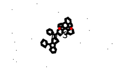 c1ccc(C2c3ccccc3-c3ccc(N(c4ccccc4)c4ccc5c(c4)Sc4ccccc4C54c5ccccc5-c5cccc6cccc4c56)cc32)cc1